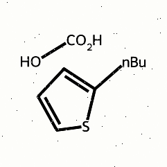 CCCCc1cccs1.O=C(O)O